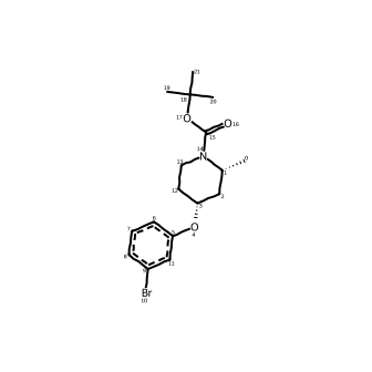 C[C@@H]1C[C@H](Oc2cccc(Br)c2)CCN1C(=O)OC(C)(C)C